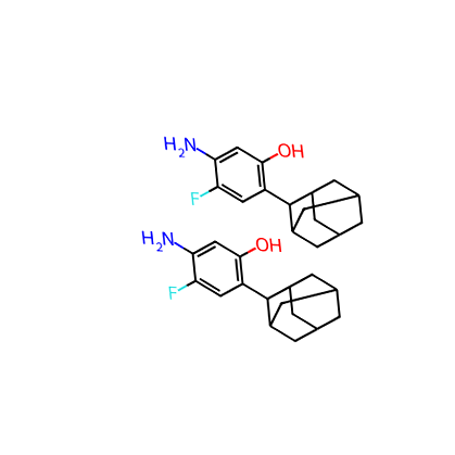 Nc1cc(O)c(C2C3CC4CC(C3)CC2C4)cc1F.Nc1cc(O)c(C2C3CC4CC(C3)CC2C4)cc1F